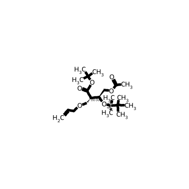 C=CCOC[C@H](C(=O)OC(C)(C)C)[C@@H](COC(C)=O)O[Si](C)(C)C(C)(C)C